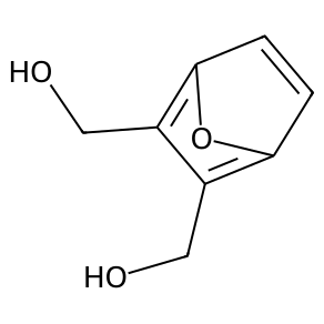 OCc1c(CO)c2ccc1o2